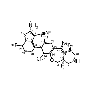 N#CC1=C(N)SC2C1=C(C1C(F)=CC3=C(OC[C@H]4CNCc5nnc3n54)C1Cl)C=CC2F